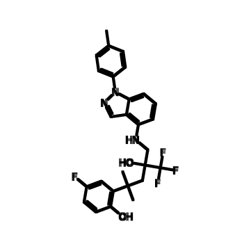 Cc1ccc(-n2ncc3c(NCC(O)(CC(C)(C)c4cc(F)ccc4O)C(F)(F)F)cccc32)cc1